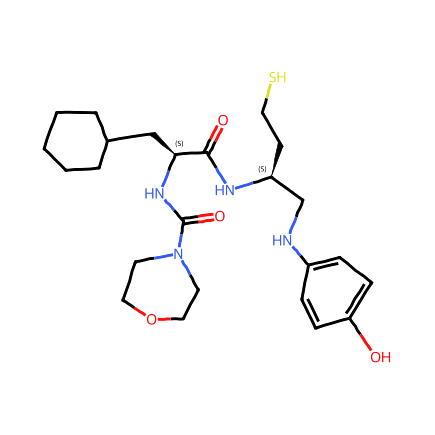 O=C(N[C@@H](CCS)CNc1ccc(O)cc1)[C@H](CC1CCCCC1)NC(=O)N1CCOCC1